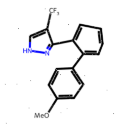 COc1ccc(-c2ccccc2-c2n[nH]cc2C(F)(F)F)cc1